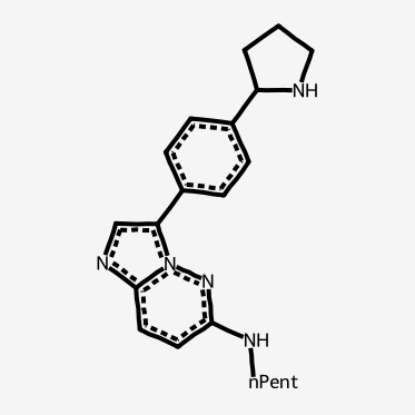 CCCCCNc1ccc2ncc(-c3ccc(C4CCCN4)cc3)n2n1